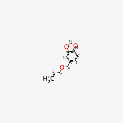 C=CCOCc1ccc2c(c1)OCO2